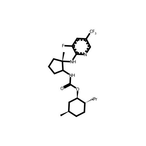 CC(C)[C@@H]1CC[C@@H](C)C[C@H]1OC(=O)NC1CCC[C@]1(C)Nc1ncc(C(F)(F)F)cc1F